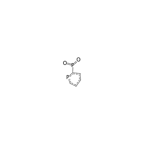 O=P(=O)c1ccccp1